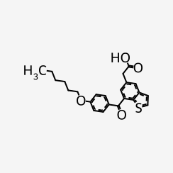 CCCCCCOc1ccc(C(=O)c2cc(CC(=O)O)cc3ccsc23)cc1